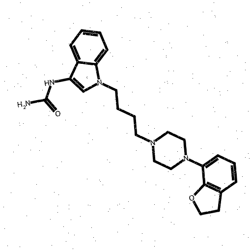 NC(=O)Nc1cn(CCCCN2CCN(c3cccc4c3OCC4)CC2)c2ccccc12